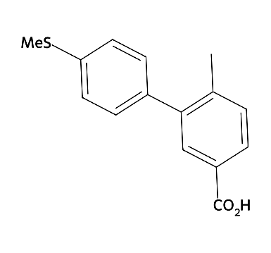 CSc1ccc(-c2cc(C(=O)O)ccc2C)cc1